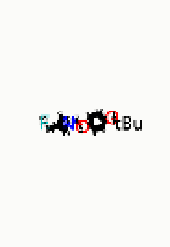 CC(C)(C)Oc1ccc(OCN2CC(CF)C2)cc1